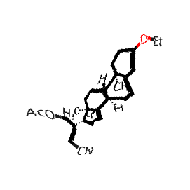 CCOC1=CC2=CC[C@H]3[C@@H]4CC[C@H](/C(=C\C#N)COC(C)=O)[C@@]4(C)CC[C@@H]3[C@@]2(C)CC1